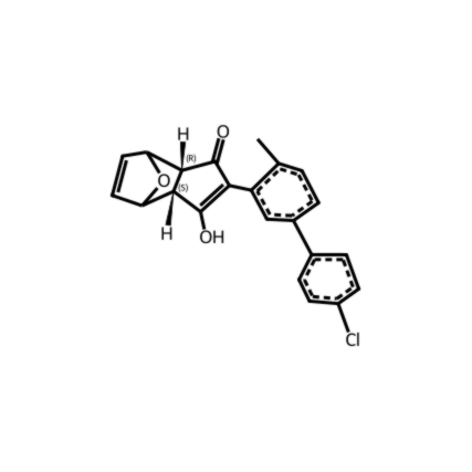 Cc1ccc(-c2ccc(Cl)cc2)cc1C1=C(O)[C@@H]2C3C=CC(O3)[C@@H]2C1=O